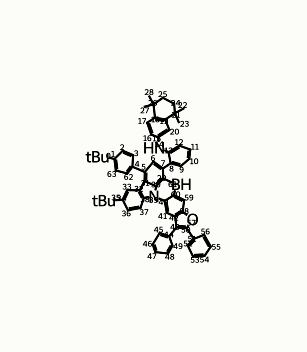 CC(C)(C)c1ccc(-c2cc(-c3ccccc3Nc3ccc4c(c3)C(C)(C)CCC4(C)C)c3c4c2c2cc(C(C)(C)C)ccc2n4-c2cc4c(-c5ccccc5)c(-c5ccccc5)oc4cc2B3)cc1